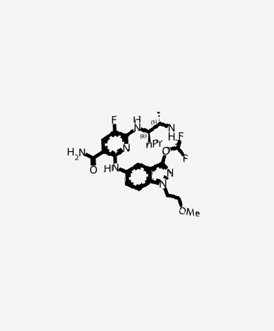 CCC[C@@H](Nc1nc(Nc2ccc3c(c2)c(OC(F)F)nn3CCOC)c(C(N)=O)cc1F)[C@H](C)N